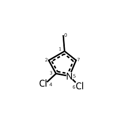 Cc1cc(Cl)n(Cl)c1